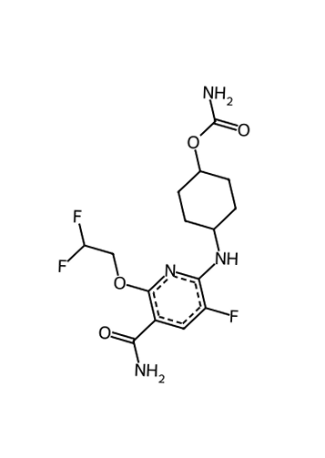 NC(=O)OC1CCC(Nc2nc(OCC(F)F)c(C(N)=O)cc2F)CC1